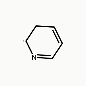 [C]1CC=CC=N1